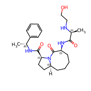 C[C@H](NCCO)C(=O)N[C@H]1CCCC[C@H]2CC[C@@H](C(=O)N[C@H](C)c3ccccc3)N2C1=O